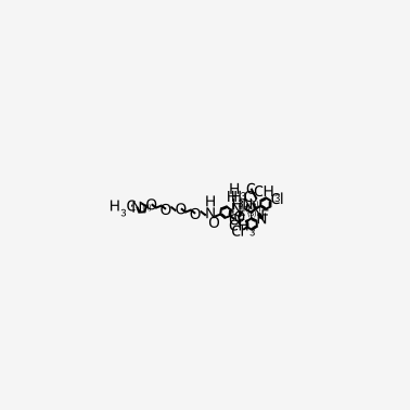 COc1cc(C(=O)NCCOCCOCCOCCO[C@@H]2CCN(C)C2)ccc1NC(=O)[C@@H]1N[C@@H](CC(C)(C)C)[C@](C#N)(c2ccc(Cl)cc2F)[C@H]1c1cccc(Cl)c1F